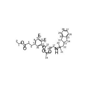 CCOC(=O)CCc1cc(F)c(F)c(OC[C@H](CNC(C)(C)CC2Cc3ccccc3C2)OC(C)=O)c1